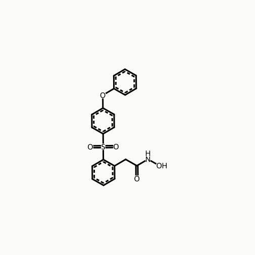 O=C(Cc1ccccc1S(=O)(=O)c1ccc(Oc2ccccc2)cc1)NO